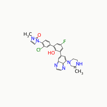 C[C@@H]1CN(c2cc(-c3cc(F)cc(-c4ccc(-n5ccn(C)c5=O)c(Cl)c4)c3O)cc3nccnc23)CCN1